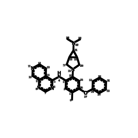 Cc1cc(Nc2ncnc3cnccc23)c(N2CC3C(C2)C3N(C)C)cc1Oc1ccccc1